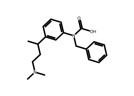 CC(CCN(C)C)c1cccc(N(Cc2ccccc2)C(=O)O)c1